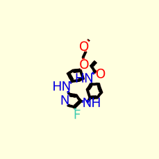 C=CC(=O)Nc1cccc(Nc2cc(Nc3ccc(OCCOC)cc3)ncc2F)c1